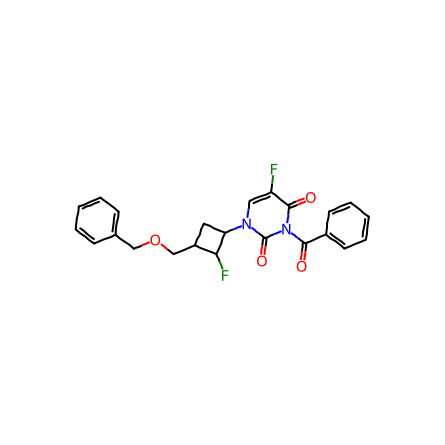 O=C(c1ccccc1)n1c(=O)c(F)cn(C2CC(COCc3ccccc3)C2F)c1=O